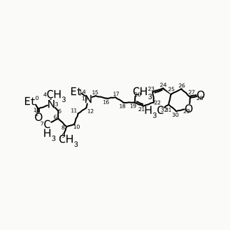 CCC(=O)N(C)CC(C)C(C)CCCN(CC)CCCC/C(C)=C/C/C=C\[C@H]1CC(=O)OCC1C